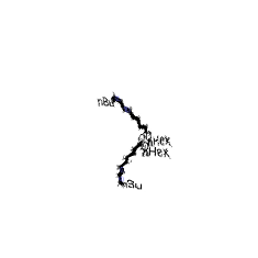 CCCC/C=C\C=C\CCCCC(OCCCCCC)OC(CCCC/C=C/C=C\CCCC)OCCCCCC